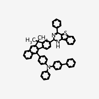 CC1(C)c2cc(C3N=C(c4ccccc4)c4sc5ccccc5c4N3)ccc2-c2c1cc1ccccc1c2-c1ccc(N(c2ccccc2)c2ccc(-c3ccccc3)cc2)cc1